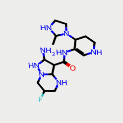 CC1NCCN1C1CCNC=C1NC(=O)C1C(N)NN2CC(F)CNC12